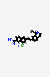 CC(C)C1=NCCc2ccc(C=Cc3cc(Br)c4cc(C(=N)N)ccc4c3)cc21